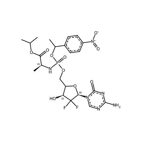 CC(C)OC(=O)[C@H](C)NP(=O)(OCC1O[C@@H](n2cnc(N)nc2=O)C(F)(F)[C@H]1O)OC(C)c1ccc([N+](=O)[O-])cc1